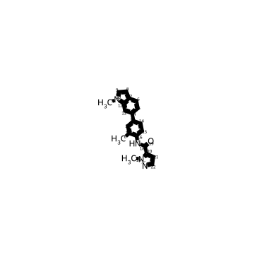 Cc1cc(-c2ccc3ccn(C)c3c2)ccc1NC(=O)c1ccnn1C